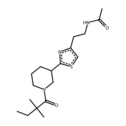 CCC(C)(C)C(=O)N1CCCC(c2nc(CCNC(C)=O)cs2)C1